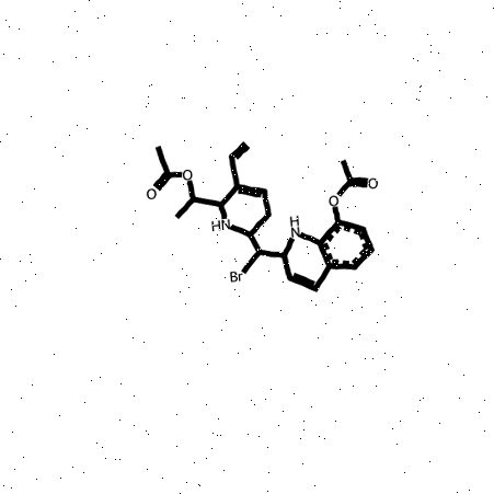 C=CC1=CCC(C(Br)C2C=Cc3cccc(OC(C)=O)c3N2)NC1C(C)OC(C)=O